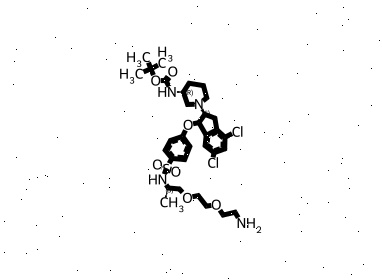 C[C@@H](COCCOCCN)NS(=O)(=O)c1ccc(OC2c3cc(Cl)cc(Cl)c3C[C@@H]2N2CCC[C@@H](NC(=O)OC(C)(C)C)C2)cc1